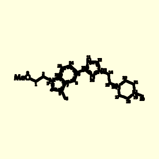 COCCn1cc(C)c2cc(-c3ncn(CCN4CCN(C)CC4)n3)ccc21